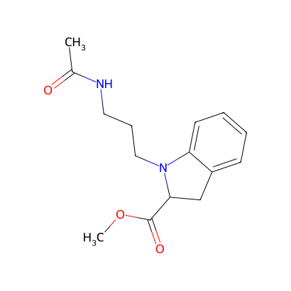 COC(=O)C1Cc2ccccc2N1CCCNC(C)=O